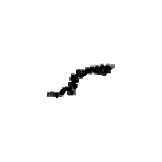 CCCCCCCC#CC[C@@H](O)[C@H]1CC[C@H]([C@H]2CC[C@H]([C@H](O)CC#C/C=C/CCC[C@@H](O)CC3=C[C@H](C)OC3=O)O2)O1